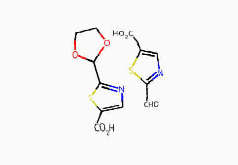 O=C(O)c1cnc(C2OCCO2)s1.O=Cc1ncc(C(=O)O)s1